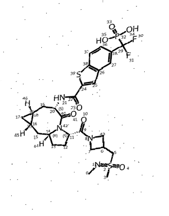 CN=S(C)(=O)CC1CN(C(=O)[C@@H]2CC[C@@H]3C[C@@H]4C[C@@H]4C[C@H](NC(=O)c4cc5cc(C(F)(F)P(=O)(O)O)ccc5s4)C(=O)N32)C1